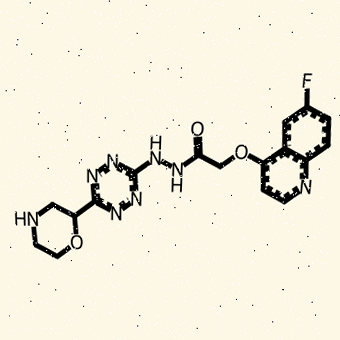 O=C(COc1ccnc2ccc(F)cc12)NNc1nnc(C2CNCCO2)nn1